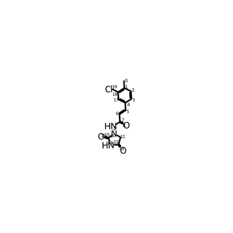 Cc1ccc(/C=C/C(=O)NN2CC(=O)NC2=O)cc1Cl